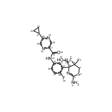 C[C@@]1(F)CSC(N)=N[C@]1(CO)c1cc(NC(=O)c2cnc(C3CC3)cn2)ccc1F